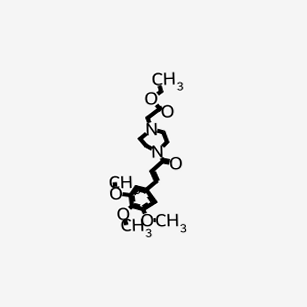 CCOC(=O)CN1CCN(C(=O)C=Cc2cc(OC)c(OC)c(OC)c2)CC1